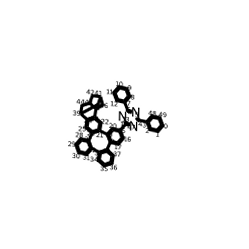 c1ccc(-c2nc(-c3ccccc3)nc(-c3ccc4c(c3)-c3cc5c(cc3-c3ccccc3-c3ccccc3-4)C3CC4CC(C3)C5C4)n2)cc1